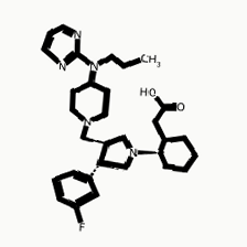 CCCN(c1ncccn1)C1CCN(C[C@H]2CN([C@@H]3CCCCC3CC(=O)O)C[C@@H]2c2cccc(F)c2)CC1